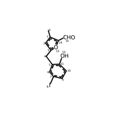 Cc1cc(Cc2cc(I)ccc2O)oc1C=O